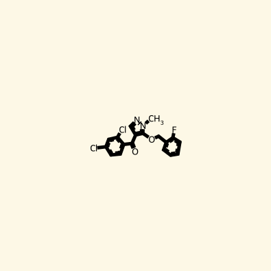 Cn1ncc(C(=O)c2ccc(Cl)cc2Cl)c1OCc1ccccc1F